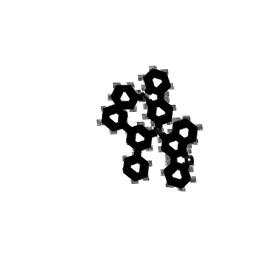 c1ccc(-c2cc(-c3ccccc3)cc(N(c3ccc4c5ccccc5n(-c5ccccc5)c4c3)c3cc4c5ccccc5oc4c4ccccc34)c2)cc1